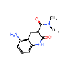 CN(C)C(=O)C1Cc2c(N)cccc2NC1=O